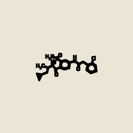 CC(CC1CC1)NC(=O)c1ccc(NC(=O)Cc2ccccc2Cl)cc1S(N)(=O)=O